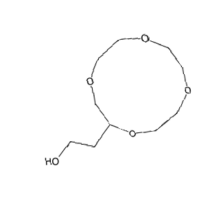 OCCC1COCCOCCOCCO1